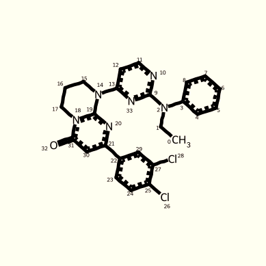 CCN(c1ccccc1)c1nccc(N2CCCn3c2nc(-c2ccc(Cl)c(Cl)c2)cc3=O)n1